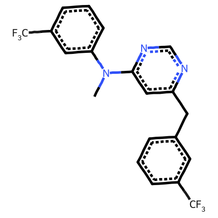 CN(c1cccc(C(F)(F)F)c1)c1cc(Cc2cccc(C(F)(F)F)c2)ncn1